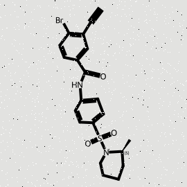 C#Cc1cc(C(=O)Nc2ccc(S(=O)(=O)N3CCCC[C@@H]3C)cc2)ccc1Br